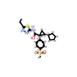 CCc1nnc(NC(=O)[C@]2(c3ccc(S(C)(=O)=O)cc3)C[C@H]2C2CCCC2)s1